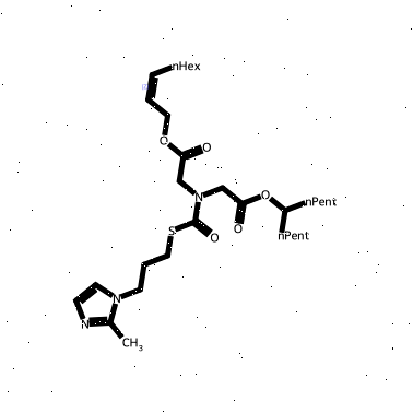 CCCCCC/C=C\COC(=O)CN(CC(=O)OC(CCCCC)CCCCC)C(=O)SCCCn1ccnc1C